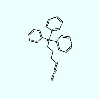 [N-]=[N+]=NCCC[PH](c1ccccc1)(c1ccccc1)c1ccccc1